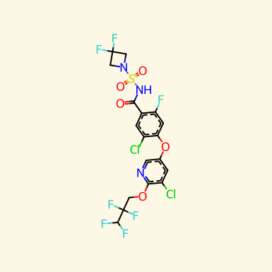 O=C(NS(=O)(=O)N1CC(F)(F)C1)c1cc(Cl)c(Oc2cnc(OCC(F)(F)C(F)F)c(Cl)c2)cc1F